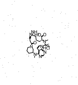 C[C@@H]1CCN(C(=O)CC#N)C[C@@H]1N(C)c1ncnc2c1ccn2C(=S)N(C)[C@@H](CCCCN)C(=O)O.Cl